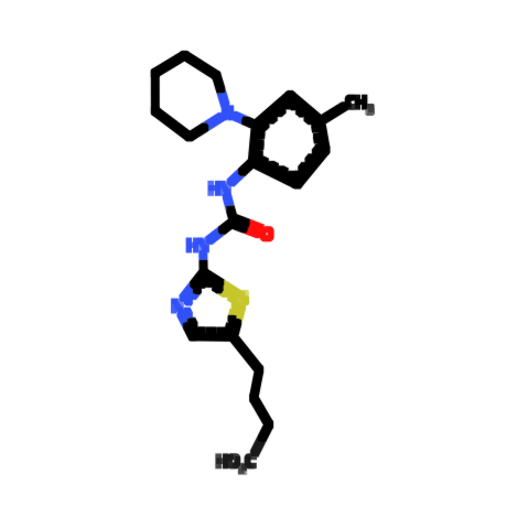 Cc1ccc(NC(=O)Nc2ncc(CCCC(=O)O)s2)c(N2CCCCC2)c1